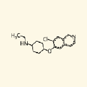 CCNC1CCC(Oc2cc3ccncc3cc2Cl)CC1